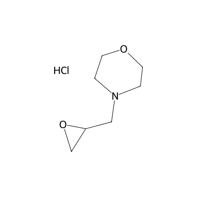 C1CN(CC2CO2)CCO1.Cl